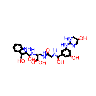 O=C(CNC(O)c1cc(O)cc(NC2=NCC(O)CN2)c1)NC[C@H](NC(O)c1[nH]c2ccccc2c1CO)C(=O)O